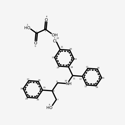 O=C(O)C(=O)O.OCC(CNC(c1ccccc1)c1ccc(Cl)cc1)c1ccccc1